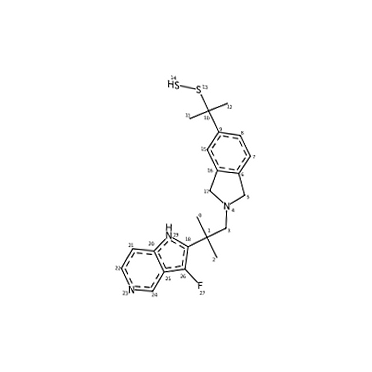 CC(C)(CN1Cc2ccc(C(C)(C)SS)cc2C1)c1[nH]c2ccncc2c1F